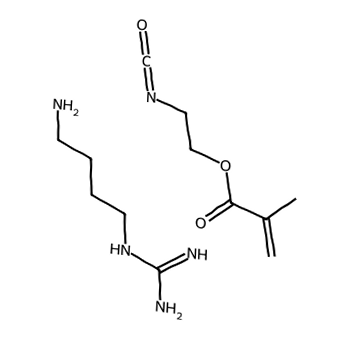 C=C(C)C(=O)OCCN=C=O.N=C(N)NCCCCN